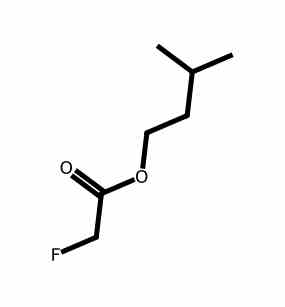 CC(C)CCOC(=O)CF